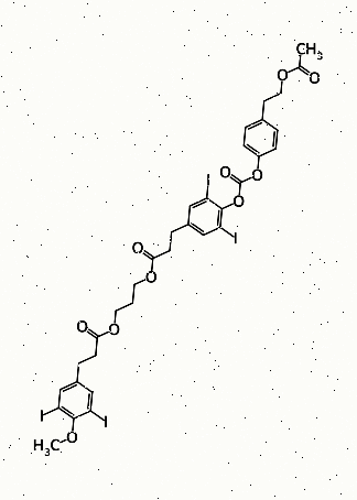 COc1c(I)cc(CCC(=O)OCCCOC(=O)CCc2cc(I)c(OC(=O)Oc3ccc(CCOC(C)=O)cc3)c(I)c2)cc1I